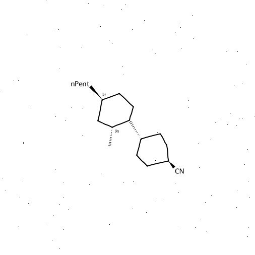 CCCCC[C@H]1CCC([C@H]2CC[C@H](C#N)CC2)[C@H](C)C1